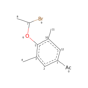 CC(=O)c1cc(C)c(OC(C)Br)c(C)c1